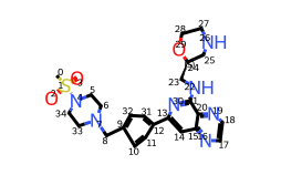 CS(=O)(=O)N1CCN(Cc2ccc(-c3cc4nccnc4c(NC[C@@H]4CNCCO4)n3)cc2)CC1